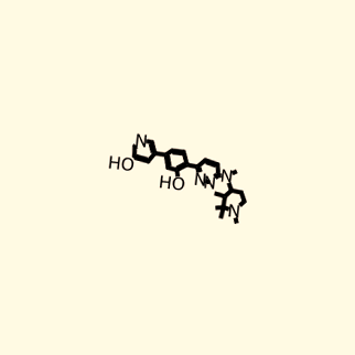 CC1C(N(C)c2ccc(-c3ccc(-c4cncc(O)c4)cc3O)nn2)CCN(C)C1(C)C